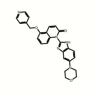 O=c1ccc2c(OCc3ccncc3)cccc2n1-c1nc2cc(N3CCOCC3)ccc2[nH]1